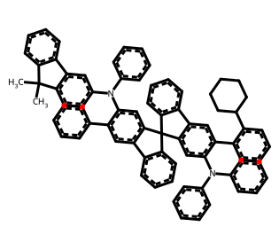 CC1(C)c2ccccc2-c2cc(N(c3ccccc3)c3cc4c(cc3-c3ccccc3)-c3ccccc3C43c4ccccc4-c4cc(-c5ccccc5C5CCCCC5)c(N(c5ccccc5)c5ccccc5)cc43)ccc21